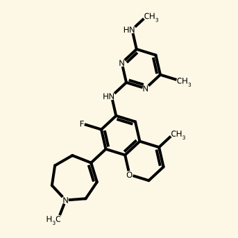 CNc1cc(C)nc(Nc2cc3c(c(C4=CCN(C)CCC4)c2F)OCC=C3C)n1